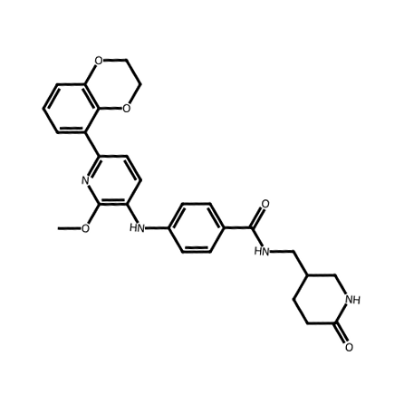 COc1nc(-c2cccc3c2OCCO3)ccc1Nc1ccc(C(=O)NCC2CCC(=O)NC2)cc1